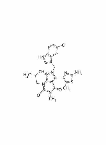 Cc1sc(N)nc1-c1c2c(=O)n(C)c(=O)n(CC(C)C)c2nn1Cc1c[nH]c2ccc(Cl)cc12